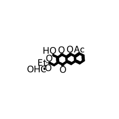 CC[C@@]1(OC=O)CC2=C(C(=O)c3c(cc4ccccc4c3OC(C)=O)C2=O)[C@H](O)O1